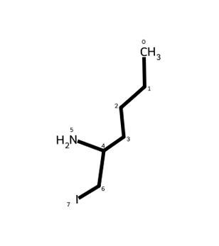 CCCCC(N)CI